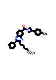 N#Cc1ccc(C2CN(C(=O)c3ccc4nc(-c5ccccc5)c(CCCCC(=O)O)nc4c3)C2)cc1